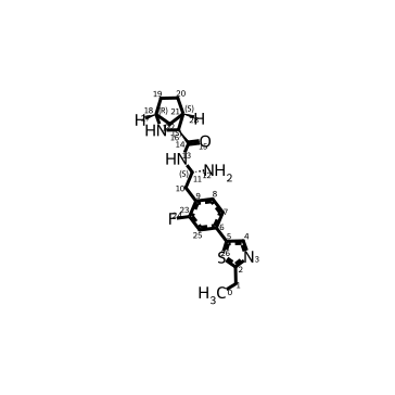 CCc1ncc(-c2ccc(C[C@@H](N)NC(=O)[C@H]3N[C@@H]4CC[C@H]3C4)c(F)c2)s1